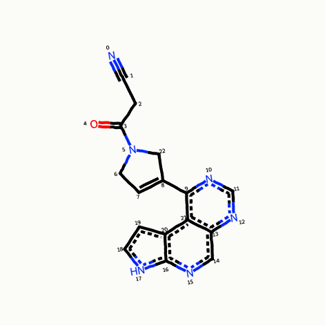 N#CCC(=O)N1CC=C(c2ncnc3cnc4[nH]ccc4c23)C1